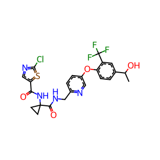 CC(O)c1ccc(Oc2ccc(CNC(=O)C3(NC(=O)c4cnc(Cl)s4)CC3)nc2)c(C(F)(F)F)c1